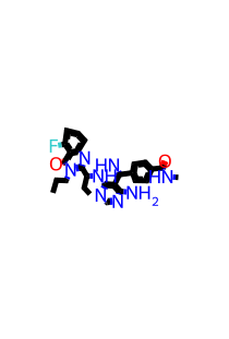 CCCn1c(C(CC)Nc2ncnc(N)c2C(=N)c2ccc(C(=O)NC)cc2)nc2cccc(F)c2c1=O